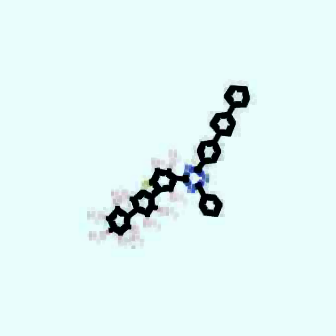 Bc1c(B)c(B)c(-c2c(B)c(B)c3c(sc4c(B)c(B)c(-c5nc(-c6ccccc6)nc(-c6ccc(-c7ccc(-c8ccccc8)cc7)cc6)n5)c(B)c43)c2B)c(B)c1B